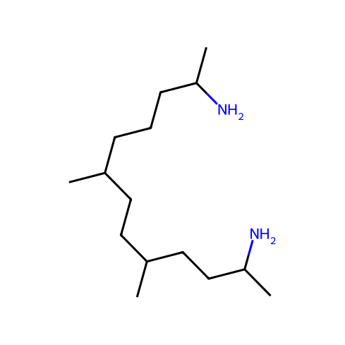 CC(N)CCCC(C)CCC(C)CCC(C)N